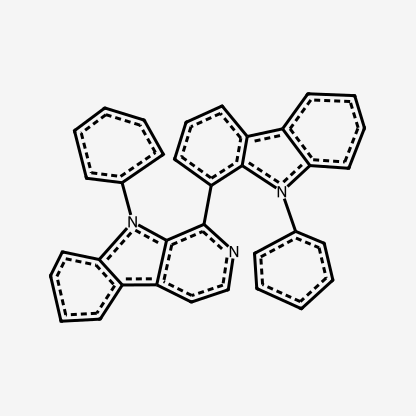 c1ccc(-n2c3ccccc3c3cccc(-c4nccc5c6ccccc6n(-c6ccccc6)c45)c32)cc1